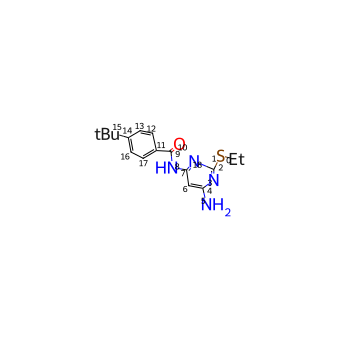 CCSc1nc(N)cc(NC(=O)c2ccc(C(C)(C)C)cc2)n1